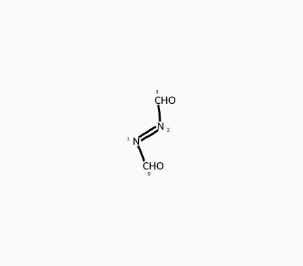 O=C/N=N/C=O